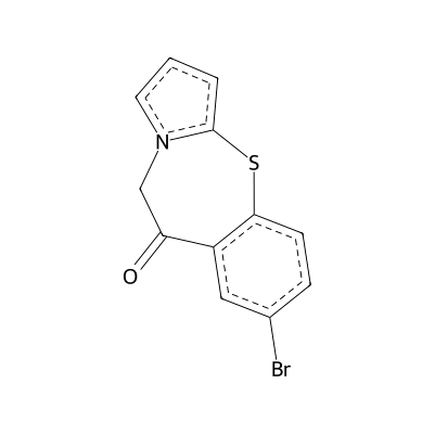 O=C1Cn2cccc2Sc2ccc(Br)cc21